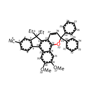 CCC1(CC)c2cc(C#N)ccc2-c2c1c1c(c3cc(OC)c(OC)cc23)OC(c2ccccc2)(c2ccccc2)C=C1